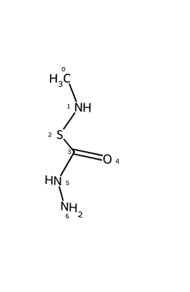 CNSC(=O)NN